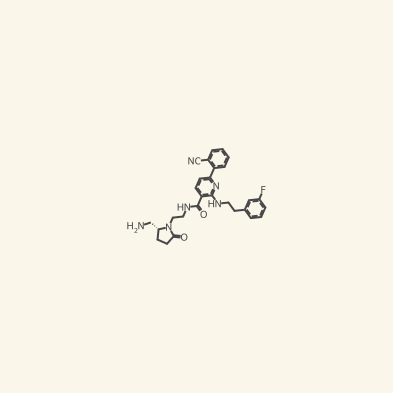 N#Cc1ccccc1-c1ccc(C(=O)NCCN2C(=O)CC[C@@H]2CN)c(NCCc2cccc(F)c2)n1